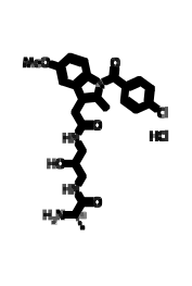 COc1ccc2c(c1)c(CC(=O)NCC(O)CNC(=O)[C@H](C)N)c(C)n2C(=O)c1ccc(Cl)cc1.Cl